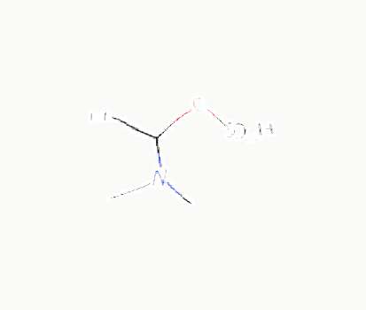 CCC(OS(=O)(=O)O)N(C)C